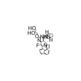 OC[C@H](O)COc1nc(N2C[C@H]3CC[C@@H](C2)N3)c2cnc(-c3cccc4cccc(Cl)c34)c(F)c2n1